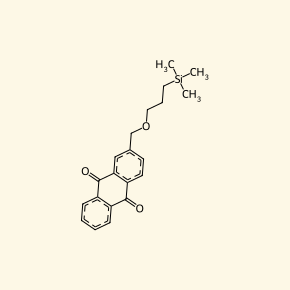 C[Si](C)(C)CCCOCc1ccc2c(c1)C(=O)c1ccccc1C2=O